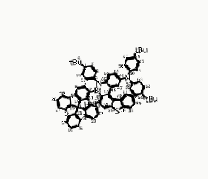 CC(C)(C)c1ccc(N2B3c4cccc(C(c5ccccc5)(c5ccccc5)c5ccccc5)c4Nc4cc5sc6ccccc6c5c(c43)-c3cc(N(c4ccc(C(C)(C)C)cc4)c4ccc(C(C)(C)C)cc4)ccc32)cc1